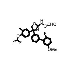 COc1ccc(F)c(-c2cccc(C3(c4ccc(OC(F)F)c(C)c4)COC(NOC=O)=N3)c2)c1